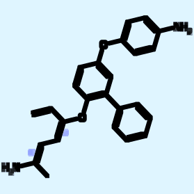 C=C/C(=C\C=C(/C)N)Oc1ccc(Oc2ccc(N)cc2)cc1-c1ccccc1